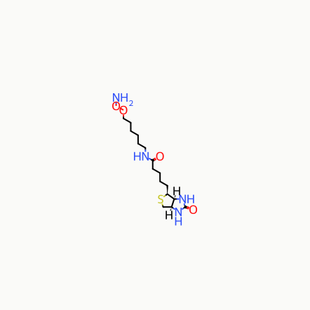 NOOCCCCCCNC(=O)CCCC[C@@H]1SC[C@@H]2NC(=O)N[C@@H]21